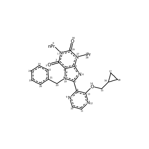 CCCn1c(=O)c2c(nc(-c3nccnc3OCC3CC3)n2Cc2ccccc2)n(C(C)C)c1=O